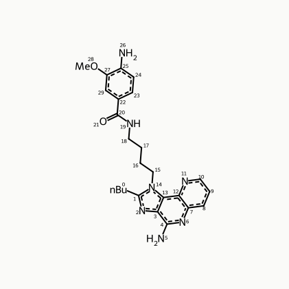 CCCCc1nc2c(N)nc3cccnc3c2n1CCCCNC(=O)c1ccc(N)c(OC)c1